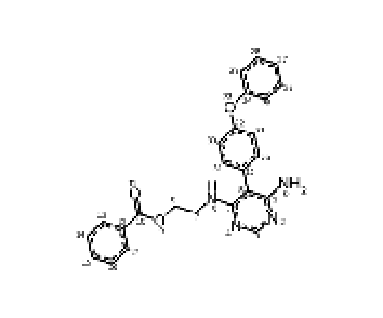 Nc1ncnc(NCCOC(=O)c2ccccc2)c1-c1ccc(Oc2ccccc2)cc1